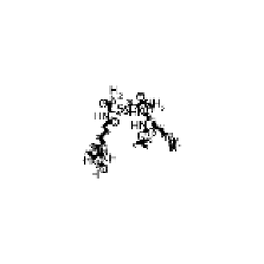 CC(C)(C)OC(=O)N[C@@H](CCCCN=[N+]=[N-])C(=O)N[C@H](CSSC[C@@H](NC(=O)CCCC[C@@H]1SC[C@@H]2NC(=O)N[C@@H]21)C(N)=O)C(N)=O